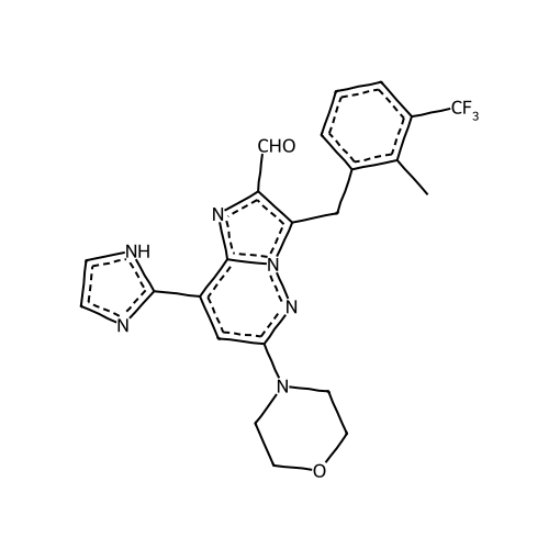 Cc1c(Cc2c(C=O)nc3c(-c4ncc[nH]4)cc(N4CCOCC4)nn23)cccc1C(F)(F)F